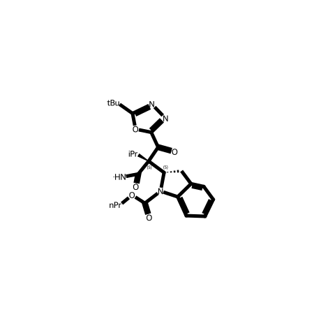 CCCOC(=O)N1c2ccccc2C[C@H]1[C@](C([NH])=O)(C(=O)c1nnc(C(C)(C)C)o1)C(C)C